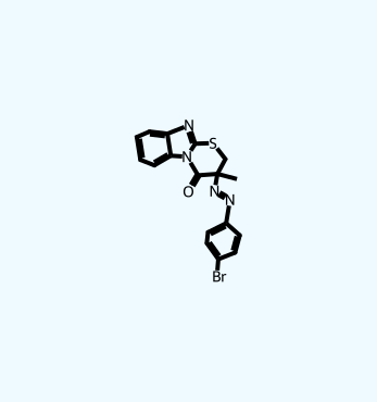 CC1(N=Nc2ccc(Br)cc2)CSc2nc3ccccc3n2C1=O